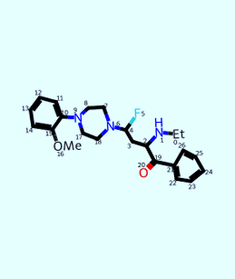 CCNC(CC(F)N1CCN(c2ccccc2OC)CC1)C(=O)c1ccccc1